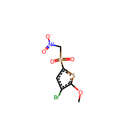 COc1sc(S(=O)(=O)C[N+](=O)[O-])cc1Br